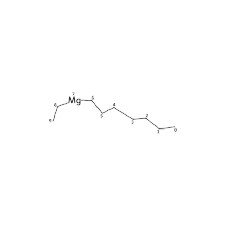 CCCCCC[CH2][Mg][CH2]C